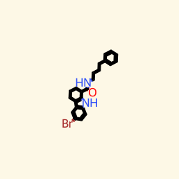 O=C(NCCCCc1ccccc1)C1CCCc2c1[nH]c1ccc(Br)cc21